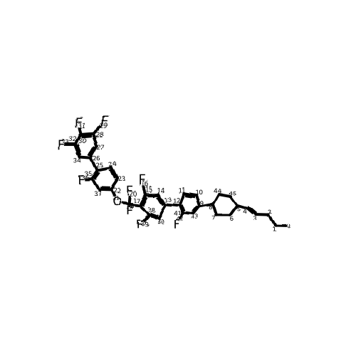 CCC/C=C/C1CCC(c2ccc(-c3cc(F)c(C(F)(F)Oc4ccc(-c5cc(F)c(F)c(F)c5)c(F)c4)c(F)c3)c(F)c2)CC1